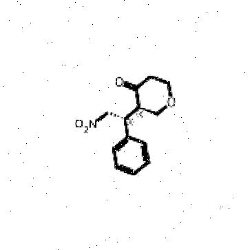 O=C1CCOC[C@H]1[C@@H](C[N+](=O)[O-])c1ccccc1